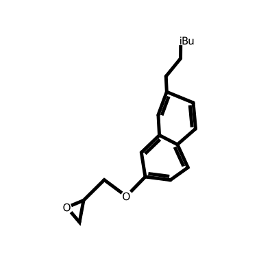 CCC(C)CCc1ccc2ccc(OCC3CO3)cc2c1